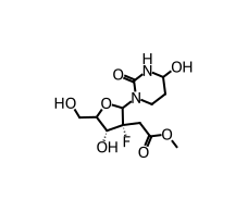 COC(=O)C[C@]1(F)C(N2CCC(O)NC2=O)OC(CO)[C@H]1O